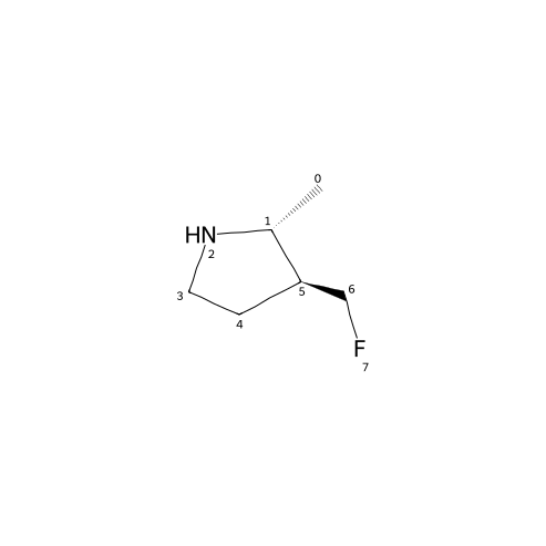 C[C@H]1NCC[C@@H]1CF